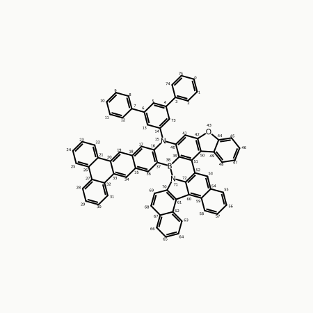 c1ccc(-c2cc(-c3ccccc3)cc(N3c4cc5cc6c7ccccc7c7ccccc7c6cc5cc4B4c5c3cc3oc6ccccc6c3c5-c3cc5ccccc5c5c6c7ccccc7ccc6n4c35)c2)cc1